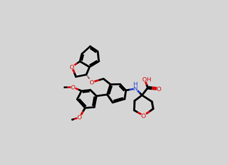 COc1cc(OC)cc(-c2ccc(NC3(C(=O)O)CCOCC3)cc2CO[C@@H]2COc3ccccc32)c1